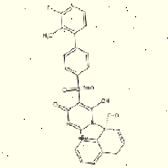 CCCCc1nc(=O)c(S(=O)(=O)c2ccc(-c3ccnc(F)c3C)cc2)c(O)n1[C@@]1(C=O)C=CCc2ccccc21